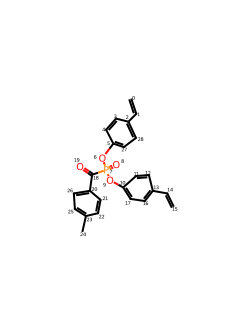 C=Cc1ccc(OP(=O)(Oc2ccc(C=C)cc2)C(=O)c2ccc(C)cc2)cc1